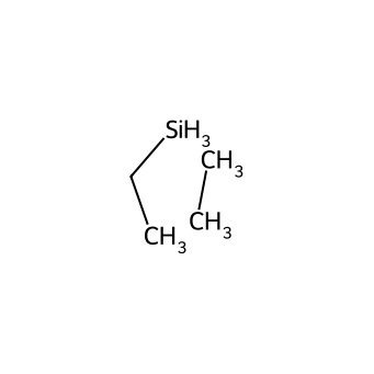 CC.CC[SiH3]